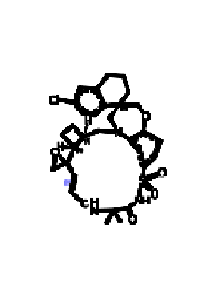 CC1(C)NC/C=C/C2(CO2)[C@@H]2CC[C@H]2CN2C[C@@]3(CCCc4cc(Cl)ccc43)COc3ccc(cc32)S(=O)(=O)NC1=O